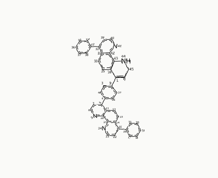 C1=C(c2ccc(-c3ccnc4c3ccc3c(-c5ccccc5)ccnc34)cc2)c2ccc3c(-c4ccccc4)ccnc3c2NC1